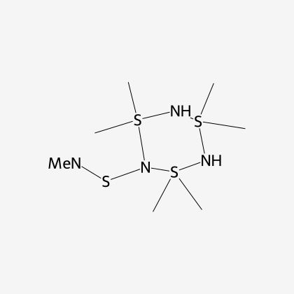 CNSN1S(C)(C)NS(C)(C)NS1(C)C